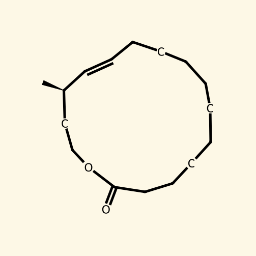 C[C@H]1/C=C/CCCCCCCCCC(=O)OCC1